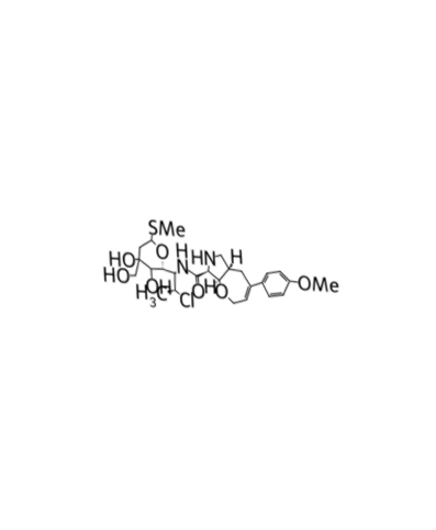 COc1ccc(C2=CCO[C@@H]3[C@H](CN[C@@H]3C(=O)N[C@H]([C@H](C)Cl)[C@H]3OC(SC)CC(O)(CO)C3O)C2)cc1